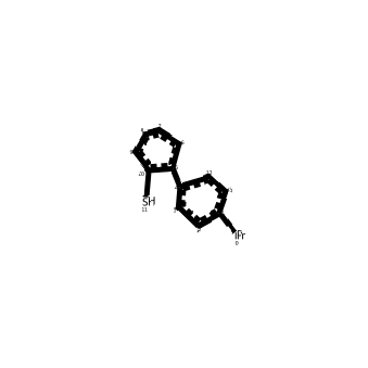 CC(C)c1ccc(-c2ccccc2S)cc1